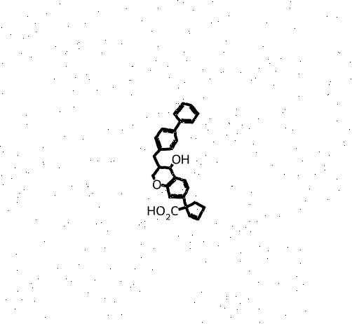 O=C(O)C1(c2ccc3c(c2)OCC(Cc2ccc(-c4ccccc4)cc2)C3O)C=CCC1